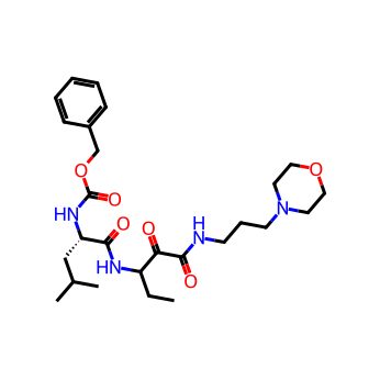 CCC(NC(=O)[C@H](CC(C)C)NC(=O)OCc1ccccc1)C(=O)C(=O)NCCCN1CCOCC1